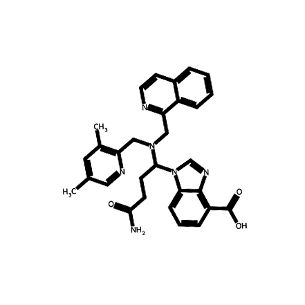 Cc1cnc(CN(Cc2nccc3ccccc23)C(CCC(N)=O)n2cnc3c(C(=O)O)cccc32)c(C)c1